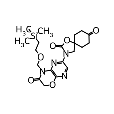 C[Si](C)(C)CCOCN1C(=O)COc2ncc(N3CC4(CCC(=O)CC4)OC3=O)nc21